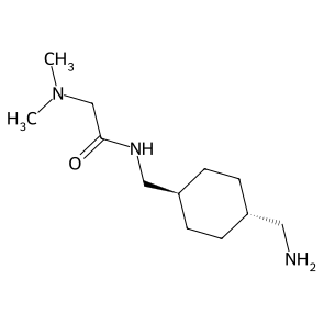 CN(C)CC(=O)NC[C@H]1CC[C@H](CN)CC1